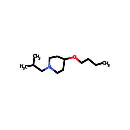 CCCCOC1CCN(CC(C)C)CC1